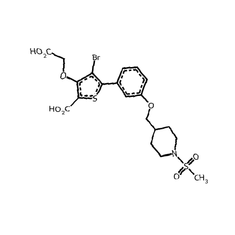 CS(=O)(=O)N1CCC(COc2cccc(-c3sc(C(=O)O)c(OCC(=O)O)c3Br)c2)CC1